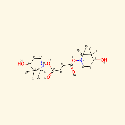 CC1(C)C(O)CCN(OC(=O)CCC(=O)ON2CCC(O)C(C)(C)C2(C)C)C1(C)C